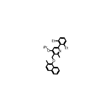 CCc1cccc(CC)c1-c1cc(OC(C)C)c(COc2c(C)ccc3ccccc23)c(C)n1